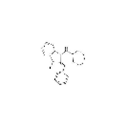 OC1C(=Cc2ccccc2)C(NC2CCCCC2)c2ccccc21